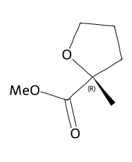 COC(=O)[C@@]1(C)CCCO1